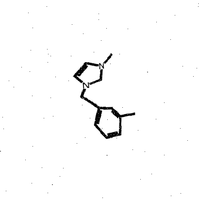 Cc1cccc(CN2C=CN(C)C2)c1